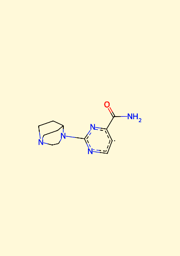 NC(=O)c1[c]cnc(N2CCN3CCC2CC3)n1